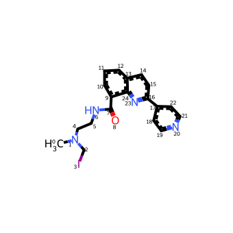 CN(CI)CCNC(=O)c1cccc2ccc(-c3ccncc3)nc12